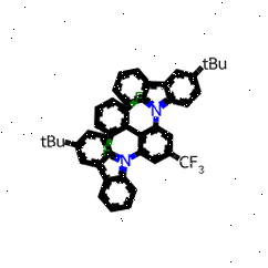 CC(C)(C)c1ccc2c(c1)c1ccccc1n2-c1cc(C(F)(F)F)cc(-n2c3ccccc3c3cc(C(C)(C)C)ccc32)c1-c1c(F)cccc1F